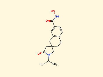 CC(C)N1CC2(CCc3ccc(C(=O)NO)cc3C2)CC1=O